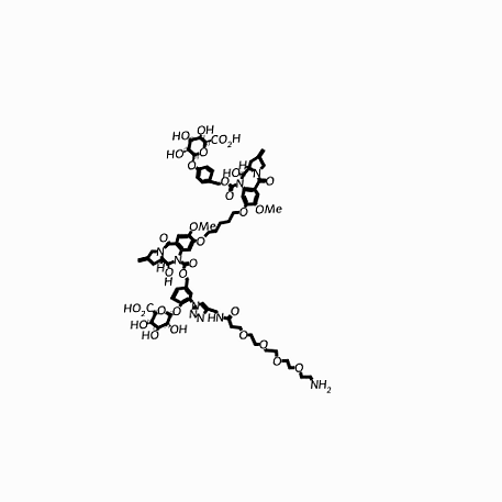 C=C1C[C@H]2[C@H](O)N(C(=O)OCc3ccc(O[C@@H]4O[C@H](C(=O)O)[C@@H](O)[C@H](O)[C@H]4O)cc3)c3cc(OCCCCCOc4cc5c(cc4OC)C(=O)N4CC(=C)C[C@H]4[C@H](O)N5C(=O)OCc4ccc(O[C@@H]5O[C@H](C(=O)O)[C@@H](O)[C@H](O)[C@H]5O)c(-n5cc(CNC(=O)CCOCCOCCOCCOCCN)nn5)c4)c(OC)cc3C(=O)N2C1